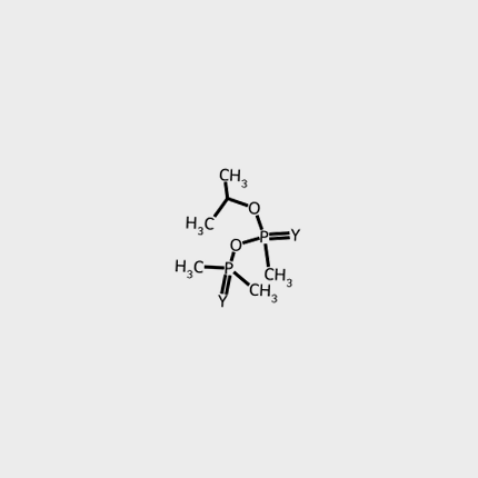 CC(C)O[P](C)(=[Y])O[P](C)(C)=[Y]